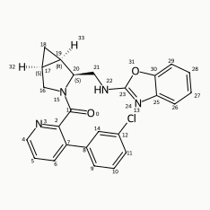 O=C(c1ncccc1-c1cccc(Cl)c1)N1C[C@H]2C[C@H]2[C@H]1CNc1nc2ccccc2o1